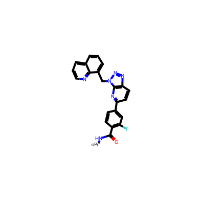 CCCNC(=O)c1ccc(-c2ccc3nnn(Cc4cccc5cccnc45)c3n2)cc1F